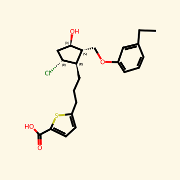 CCc1cccc(OC[C@@H]2[C@@H](CCCc3ccc(C(=O)O)s3)[C@H](Cl)C[C@H]2O)c1